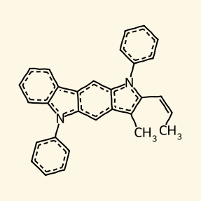 C/C=C\c1c(C)c2cc3c(cc2n1-c1ccccc1)c1ccccc1n3-c1ccccc1